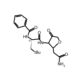 CC(C)(C)C[C@H](NC(=O)c1ccccc1)C(=O)NC1C(=O)COC1CC(N)=O